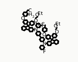 C=Cc1ccc(Oc2ccc(C3(c4ccc(OCCOCC)cc4)c4ccccc4-c4ccc(N(c5ccc(-c6ccc(N(c7cccc(F)c7)c7ccc8c(c7)C(c7ccc(OCCOCC)cc7)(c7ccc(Oc9ccc(C=C)cc9)cc7)c7ccccc7-8)cc6)cc5)c5cccc(F)c5)cc43)cc2)cc1